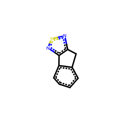 c1ccc2c(c1)Cc1nsnc1-2